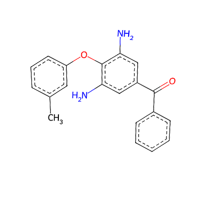 Cc1cccc(Oc2c(N)cc(C(=O)c3ccccc3)cc2N)c1